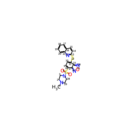 CN1CCN(S(=O)(=O)c2ccc(Sc3ccc4ccccc4n3)c3nonc23)CC1